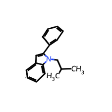 CC(C)Cn1c(-c2ccccc2)cc2c[c]ccc21